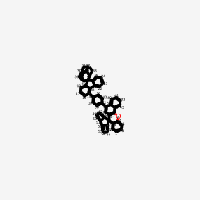 c1ccc2c(c1)Oc1c(cc(-c3ccc(-c4cccc5c4-c4ccccc4C54C5CC6CC(C5)CC4C6)cc3)c3ccccc13)C21c2ccccc2-c2ccccc21